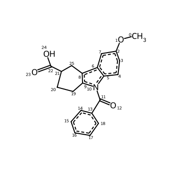 COc1ccc2c(c1)c1c(n2C(=O)c2ccccc2)CCC(C(=O)O)C1